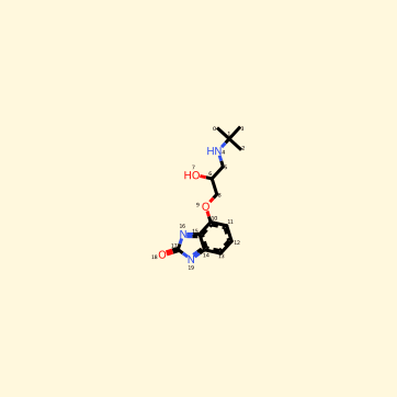 CC(C)(C)NCC(O)COc1cccc2c1=NC(=O)N=2